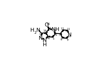 Nc1n[nH]c2cc(-c3ccncc3)[nH]c(=O)c12